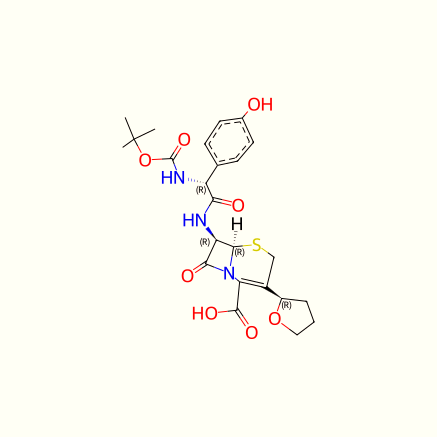 CC(C)(C)OC(=O)N[C@@H](C(=O)N[C@@H]1C(=O)N2C(C(=O)O)=C([C@H]3CCCO3)CS[C@H]12)c1ccc(O)cc1